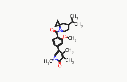 COc1cc(-c2cn(C)c(=O)c(C)c2C)ccc1C(=O)N1CCC(C(C)C)CC12CC2